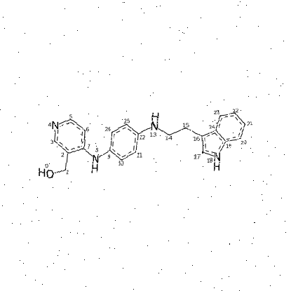 OCc1cnccc1Nc1ccc(NCCc2c[nH]c3ccccc23)cc1